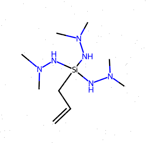 C=CC[Si](NN(C)C)(NN(C)C)NN(C)C